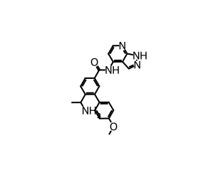 COc1ccc(-c2cc(C(=O)Nc3ccnc4[nH]ncc34)ccc2C(C)N)cc1